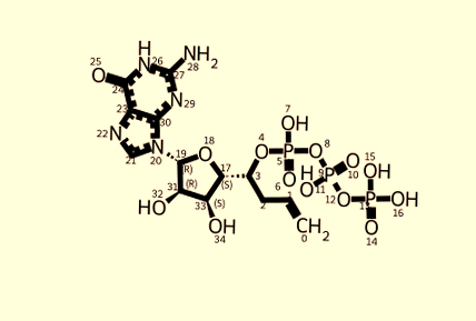 C=CCC(OP(=O)(O)OP(=O)(O)OP(=O)(O)O)[C@H]1O[C@@H](n2cnc3c(=O)[nH]c(N)nc32)[C@H](O)[C@@H]1O